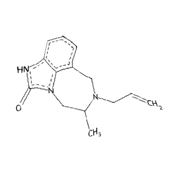 C=CCN1Cc2cccc3[nH]c(=O)n(c23)CC1C